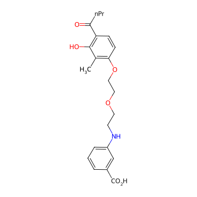 CCCC(=O)c1ccc(OCCOCCNc2cccc(C(=O)O)c2)c(C)c1O